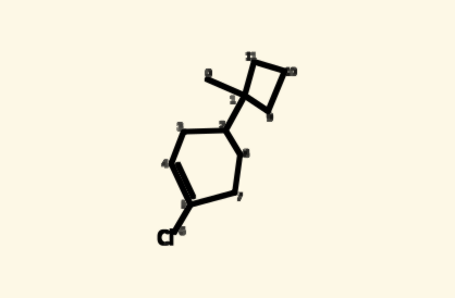 CC1(C2CC=C(Cl)CC2)CCC1